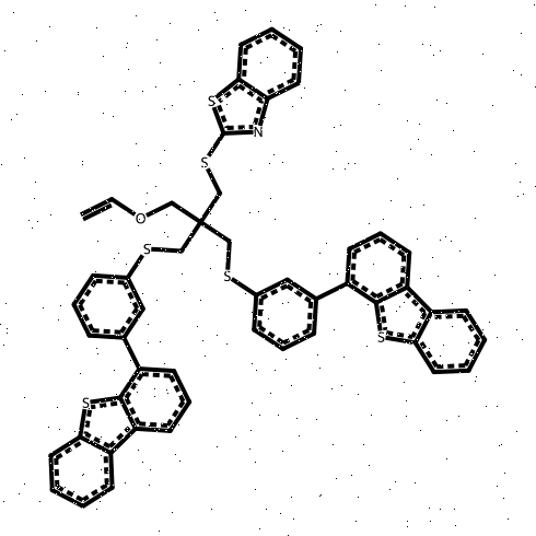 C=COCC(CSc1cccc(-c2cccc3c2sc2ccccc23)c1)(CSc1cccc(-c2cccc3c2sc2ccccc23)c1)CSc1nc2ccccc2s1